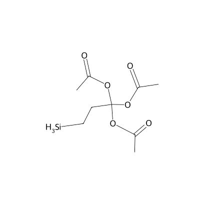 CC(=O)OC(CC[SiH3])(OC(C)=O)OC(C)=O